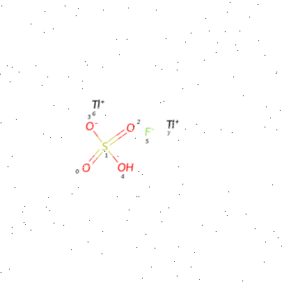 O=S(=O)([O-])O.[F-].[Tl+].[Tl+]